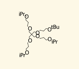 CC(C)OCCCOCC(COCCCOC(C)C)(COCCCOC(C)C)COCCCOC(C)(C)C